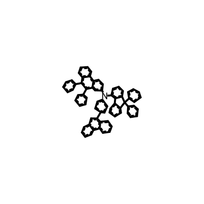 c1ccc(-c2c(-c3ccccc3)c3cc(N(c4ccc(-c5cc6ccccc6c6ccccc56)cc4)c4cccc5c4-c4ccccc4C5(c4ccccc4)c4ccccc4)ccc3c3ccccc23)cc1